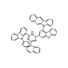 c1ccc(-n2c3ccccc3c3cccc(C4=NC(c5cccc6ccccc56)=NC(c5cc(-n6c7ccccc7c7cc8ccccc8cc76)c6c(c5)oc5ccccc56)N4)c32)cc1